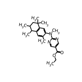 CCOC(=O)c1cnc(N(C)c2cc3c(cc2C)C(C)C(C)CC3(C)C)nc1